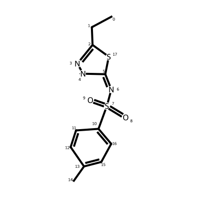 CCC1=N[N]C(=NS(=O)(=O)c2ccc(C)cc2)S1